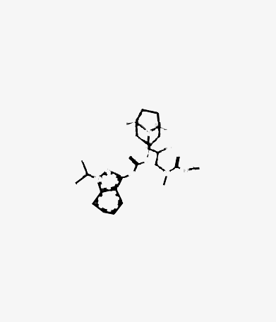 CNC(=O)N(C)CC(O)CN1[C@@H]2CC[C@H]1C[C@H](NC(=O)Oc1nn(C(C)C)c3ccccc13)C2